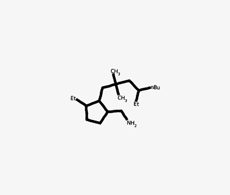 CCCCC(CC)CC(C)(C)CC1C(CC)CCC1CN